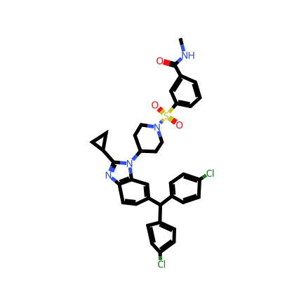 CNC(=O)c1cccc(S(=O)(=O)N2CCC(n3c(C4CC4)nc4ccc(C(c5ccc(Cl)cc5)c5ccc(Cl)cc5)cc43)CC2)c1